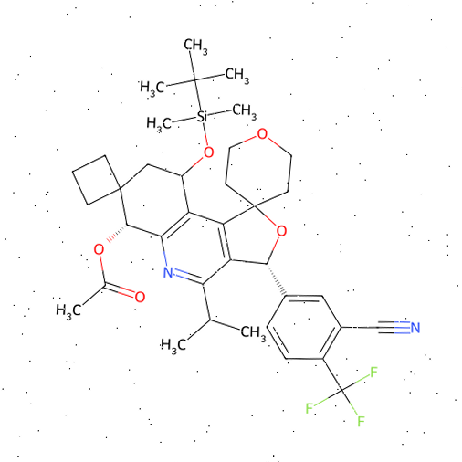 CC(=O)O[C@H]1c2nc(C(C)C)c3c(c2C(O[Si](C)(C)C(C)(C)C)CC12CCC2)C1(CCOCC1)O[C@@H]3c1ccc(C(F)(F)F)c(C#N)c1